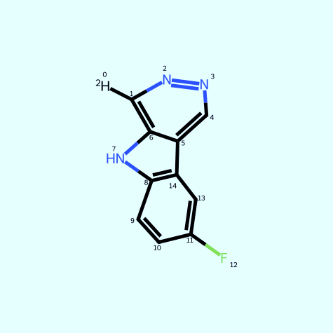 [2H]c1nncc2c1[nH]c1ccc(F)cc12